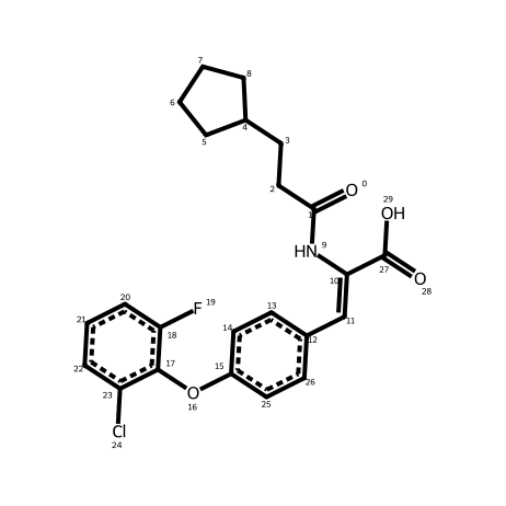 O=C(CCC1CCCC1)N/C(=C\c1ccc(Oc2c(F)cccc2Cl)cc1)C(=O)O